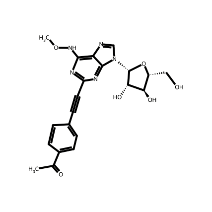 CONc1nc(C#Cc2ccc(C(C)=O)cc2)nc2c1ncn2[C@@H]1O[C@H](CO)[C@@H](O)[C@@H]1O